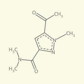 CC(=O)c1cc(C(=O)N(C)C)nn1C